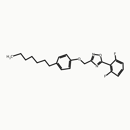 CCCCCCCc1ccc(OCc2noc(-c3c(F)cccc3F)n2)cc1